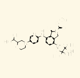 CC(O)C1CN(c2ccc(Nc3ccc(B4OC(C)(C)C(C)(C)O4)c4c3C(=O)N(C(=O)OC(C)(C)C)C4)nc2)CCO1